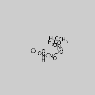 CC(C)(C)OC(=O)N1CCOC(C=CC(=O)N2CCC(NC(=O)OCc3ccccc3)CC2)C1